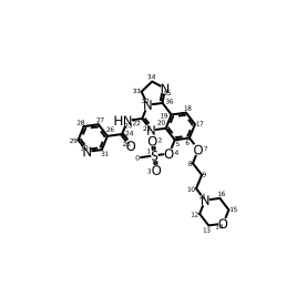 CS(=O)(=O)Oc1c(OCCCN2CCOCC2)ccc2c1N=C(NC(=O)c1cccnc1)N1CCN=C21